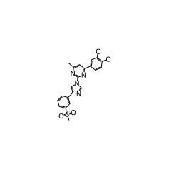 Cc1cc(-c2ccc(Cl)c(Cl)c2)nc(-n2cnc(-c3cccc(S(C)(=O)=O)c3)c2)n1